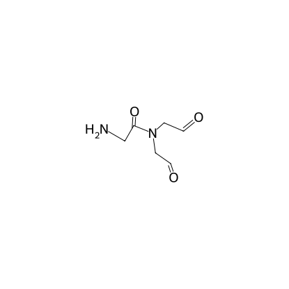 NCC(=O)N(CC=O)CC=O